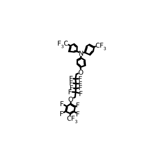 Fc1c(F)c(C(F)(F)F)c(F)c(F)c1OCC(F)(F)C(F)(F)C(F)(F)C(F)(F)COc1ccc(N(c2ccc(C(F)(F)F)cc2)c2ccc(C(F)(F)F)cc2)cc1